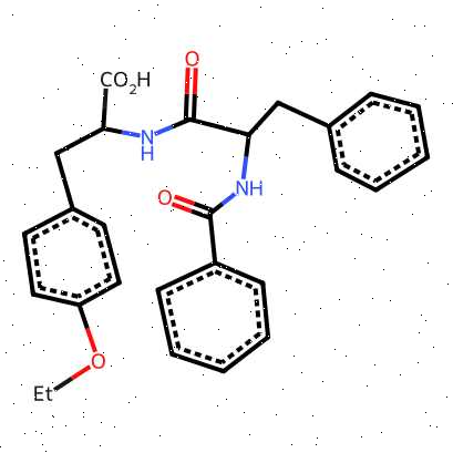 CCOc1ccc(CC(NC(=O)C(Cc2ccccc2)NC(=O)c2ccccc2)C(=O)O)cc1